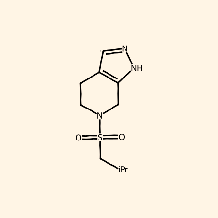 CC(C)CS(=O)(=O)N1CCc2[c]n[nH]c2C1